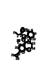 CCC(=O)Oc1c(Br)cccc1N1CCOc2cc(C3CC3)cc(F)c2C1=O